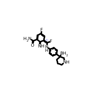 BC1(c2ccc(N/C(F)=C3/C=C(F)C=C(C(N)=O)C3=N)cc2)CCCNC1